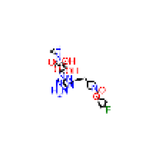 Nc1nc(C#CCC2CCN(C(=O)Oc3ccc(F)cc3)CC2)nc2c1ncn2[C@@H]1O[C@H](C(=O)NC2CC2)[C@@H](O)[C@H]1O